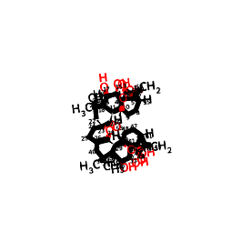 C=C1C(=O)[C@]23[C@H](O)[C@H]1CC[C@H]2[C@@]12CO[C@@]3(O)[C@@H](O)[C@@H]1C(C)(C)C[C@]1(CCC3=C(O1)[C@]14CO[C@@](O)([C@@H](O)[C@@H]1C(C)(C)C3)[C@]13C(=O)C(=C)[C@H](CC[C@@H]41)[C@H]3O)C2=O